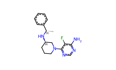 C[C@H](N[C@@H]1CCCN(c2ncnc(N)c2F)C1)c1ccccc1